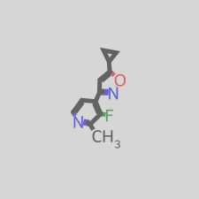 Cc1nccc(-c2cc(C3CC3)on2)c1F